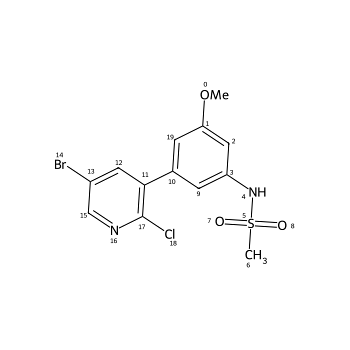 COc1cc(NS(C)(=O)=O)cc(-c2cc(Br)cnc2Cl)c1